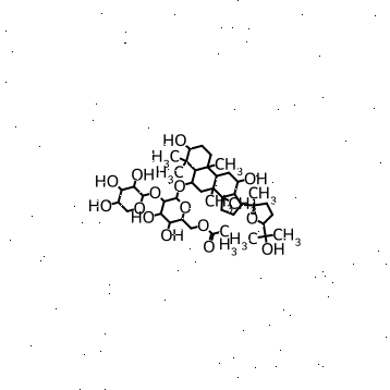 CC(=O)OCC1OC(OC2CC3(C)C(CC(O)C4C(C5(C)CCC(C(C)(C)O)O5)CCC43C)C3(C)CCC(O)C(C)(C)C23)C(OC2OCC(O)C(O)C2O)C(O)C1O